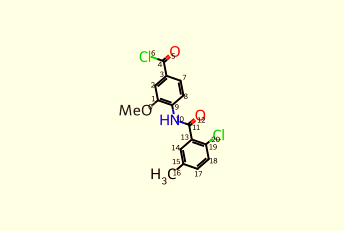 COc1cc(C(=O)Cl)ccc1NC(=O)c1cc(C)ccc1Cl